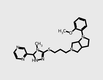 COc1ccccc1N1CCC2CN(CCCSC3=NNC(c4cnccn4)N3C)CC21